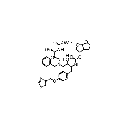 COC(=O)NC(C(=O)NN(Cc1ccccc1)CC(O)C(Cc1ccc(OCc2cscn2)cc1)NC(=O)OC1COC2OCCC12)C(C)(C)C